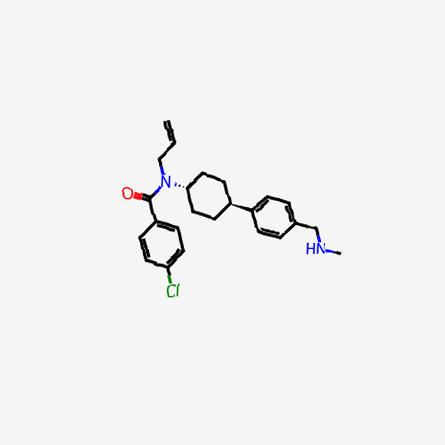 C=CCN(C(=O)c1ccc(Cl)cc1)[C@H]1CC[C@H](c2ccc(CNC)cc2)CC1